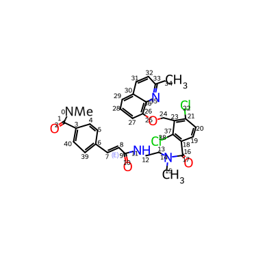 CNC(=O)c1ccc(/C=C/C(=O)NCCN(C)C(=O)c2ccc(Cl)c(COc3cccc4ccc(C)nc34)c2Cl)cc1